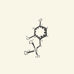 Clc1ccc(C[Si](Cl)(Cl)Cl)c(Cl)c1